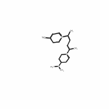 CC(CCC(C)N1CCC(N(C)C)CC1)N1CCC(O)CC1